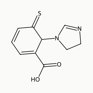 O=C(O)C1=CC=CC(=S)C1N1C=NCC1